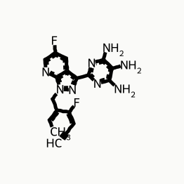 C#C/C=C(F)\C(=C/C)Cn1nc(-c2nc(N)c(N)c(N)n2)c2cc(F)cnc21